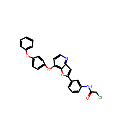 O=C(CCl)Nc1cccc(-c2cc3nccc(Oc4ccc(Oc5ccccc5)cc4)c3o2)c1